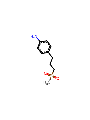 CS(=O)(=O)CCCc1ccc(N)cc1